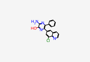 Nc1nc(-c2ccccc2)c(-c2cc(Cl)c3ncccc3c2)nc1O